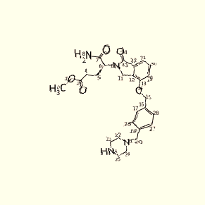 COC(=O)CC[C@@H](C(N)=O)N1Cc2c(OCc3ccc(CN4CCNCC4)cc3)cccc2C1=O